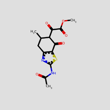 COC(=O)C(=O)C1C(=O)c2sc(NC(C)=O)nc2CC1C